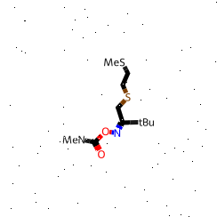 CNC(=O)ON=C(CSCCSC)C(C)(C)C